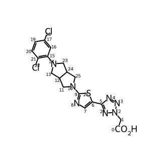 O=C(O)Cn1nnc(-c2cnc(N3CC4CN(c5cc(Cl)ccc5Cl)CC4C3)s2)n1